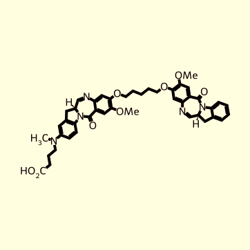 COc1cc2c(cc1OCCCCCOc1cc3c(cc1OC)C(=O)N1c4ccc(N(C)CCCC(=O)O)cc4C[C@H]1C=N3)N=C[C@@H]1Cc3ccccc3N1C2=O